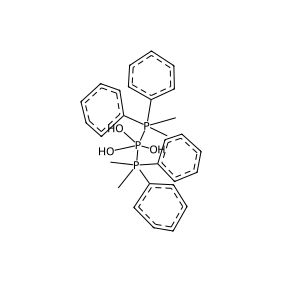 CP(C)(c1ccccc1)(c1ccccc1)P(O)(O)(O)P(C)(C)(c1ccccc1)c1ccccc1